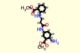 COC(=O)c1cc(NC(=O)CCNc2ccccc2C(=O)OC)ccc1N